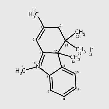 CC1=CC2=[N+](C)c3ccccc3C2(C)C(C)(C)C1.[I-]